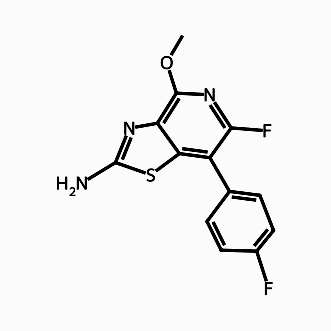 COc1nc(F)c(-c2ccc(F)cc2)c2sc(N)nc12